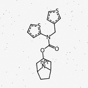 CCCN1C2CCC1CC(OC(=O)N(Cc1ccsc1)c1cccs1)C2